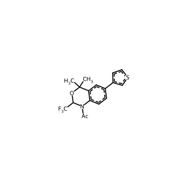 CC(=O)N1c2ccc(-c3ccsc3)cc2C(C)(C)OC1C(F)(F)F